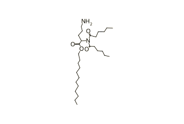 CCCCCCCCCCCCOC(=O)C(CCCN)N(C(=O)CCCCC)C(=O)CCCCC